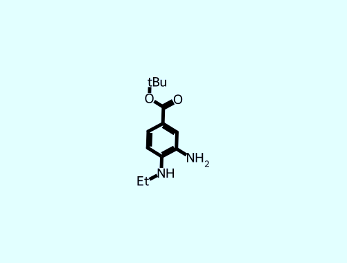 CCNc1ccc(C(=O)OC(C)(C)C)cc1N